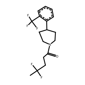 CC(F)(F)CCC(=O)N1CCC(c2ccccc2C(F)(F)F)CC1